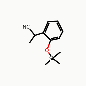 CC(C#N)c1ccccc1O[Si](C)(C)C